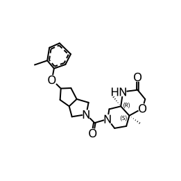 Cc1ccccc1OC1CC2CN(C(=O)N3CC[C@]4(C)OCC(=O)N[C@]4(C)C3)CC2C1